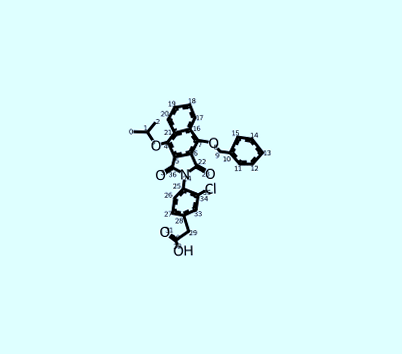 CC(C)Oc1c2c(c(OCc3ccccc3)c3ccccc13)C(=O)N(c1ccc(CC(=O)O)cc1Cl)C2=O